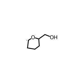 OCC1CCC[CH]O1